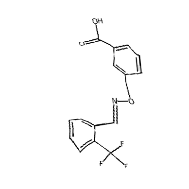 O=C(O)c1cccc(O/N=C/c2ccccc2C(F)(F)F)c1